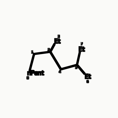 CCCCCCC(CC)CC(CC)CC